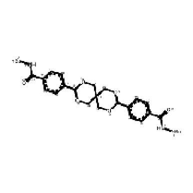 CCCCNC(=O)c1ccc(C2OCC3(CO2)COC(c2ccc(C(=O)NCCCC)cc2)OC3)cc1